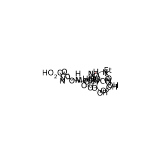 CCN1CCO/N=C2\[C@H](C)C[C@@](C)(O)[C@H](O[C@@H]3O[C@H](CC1)C[C@H](N(C)C)[C@H]3O)[C@@H](C)[C@H](O[C@H]1C[C@@](C)(OC)[C@@H](OC(=O)CCNCCOc3ccc4c(=O)c(C(=O)O)cn(N(C)C)c4c3)[C@H](C)O1)[C@@H](C)C(=O)O[C@@H]1CC[C@]1(O)[C@@H]2O